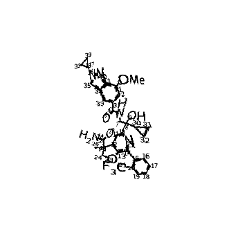 COc1cc(C(=O)NCC(O)(c2cc3c(c(-c4ccccc4C(F)(F)F)n2)OC[C@]3(C)C(N)=O)C2CC2)cc2cn(C3CC3)nc12